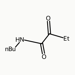 CCCCNC(=O)C(=O)CC